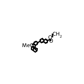 C=CCOC(=O)c1ccc2cc(-c3ccc(OC)c(C45CC6CC(CC(C6)C4)C5)c3)ccc2c1